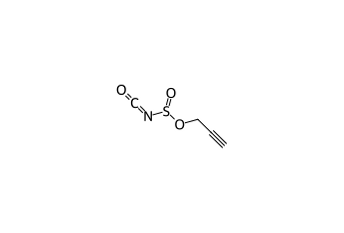 C#CCOS(=O)N=C=O